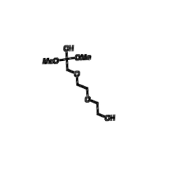 COC(O)(COCCOCCO)OC